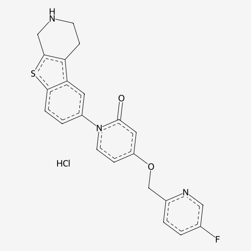 Cl.O=c1cc(OCc2ccc(F)cn2)ccn1-c1ccc2sc3c(c2c1)CCNC3